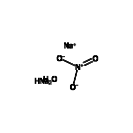 O.O=[N+]([O-])[O-].[Na+].[NaH]